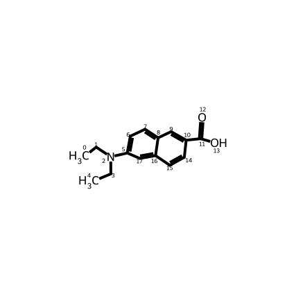 CCN(CC)c1ccc2cc(C(=O)O)ccc2c1